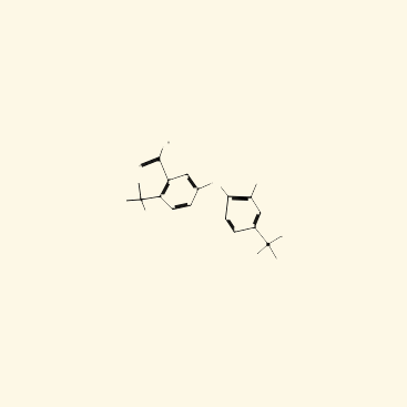 O=C(O)c1cc(Oc2ccc(C(F)(F)F)cc2Cl)ccc1C(F)(F)F